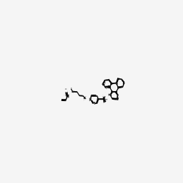 C=CC(=O)OC(CC)CCCOc1ccc(C(=O)Oc2cccc3c4ccccc4c4ccccc4c23)cc1